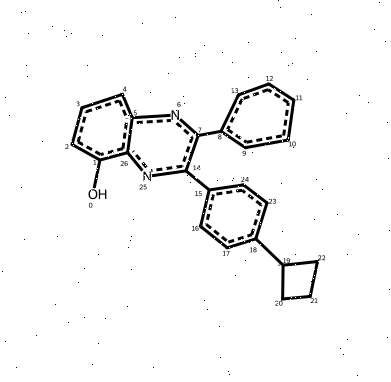 Oc1cccc2nc(-c3ccccc3)c(-c3ccc([C]4CCC4)cc3)nc12